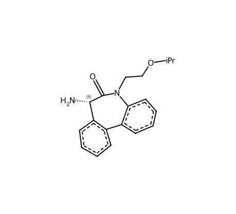 CC(C)OCCN1C(=O)[C@@H](N)c2ccccc2-c2ccccc21